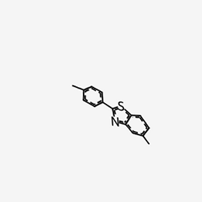 Cc1ccc(-c2nc3cc(C)ccc3s2)cc1